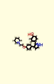 Oc1ccc(-c2[nH]ccc2-c2ccc(OCCN3CCCCC3)cc2)cc1